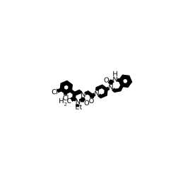 C=C1C(c2cccc(Cl)c2Cl)=CN(CC(=O)N2CCC(N3CCc4ccccc4NC3=O)CC2)C(=O)N1CC